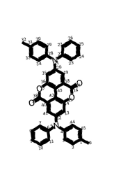 Cc1ccc(N(c2ccccc2)c2cc3oc(=O)c4cc(N(c5ccccc5)c5ccc(C)cc5)cc5oc(=O)c(c2)c3c54)cc1